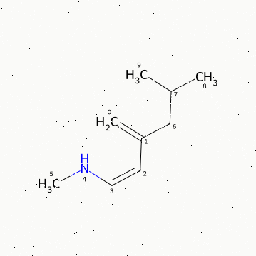 C=C(/C=C\NC)CC(C)C